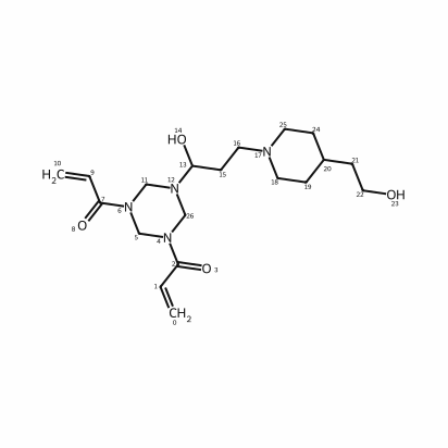 C=CC(=O)N1CN(C(=O)C=C)CN(C(O)CCN2CCC(CCO)CC2)C1